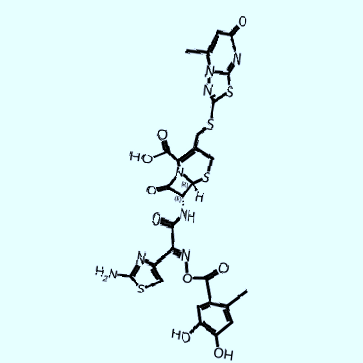 Cc1cc(O)c(O)cc1C(=O)ON=C(C(=O)N[C@@H]1C(=O)N2C(C(=O)O)=C(CSc3nn4c(C)cc(=O)nc4s3)CS[C@H]12)c1csc(N)n1